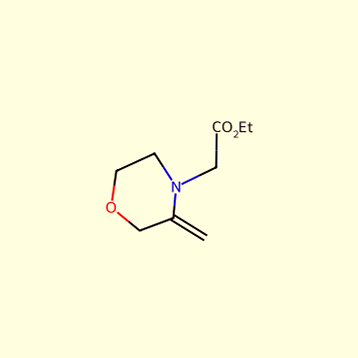 C=C1COCCN1CC(=O)OCC